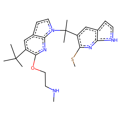 CNCCOc1nc2c(ccn2C(C)(C)c2cc3cc[nH]c3nc2SC)cc1C(C)(C)C